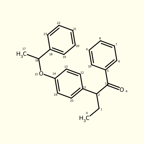 CCC(C(=O)c1ccccc1)c1ccc(OC(C)c2ccccc2)cc1